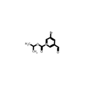 CC(C)OC(=O)[n+]1cc(Br)cc(C=O)c1